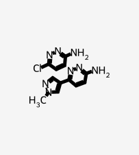 Cn1cc(-c2ccc(N)nn2)cn1.Nc1ccc(Cl)nn1